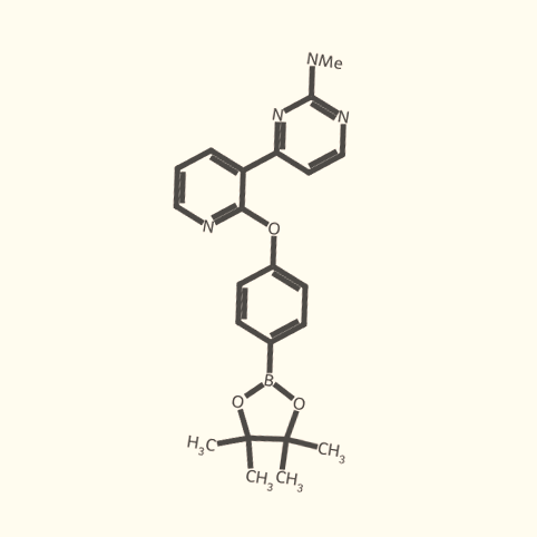 CNc1nccc(-c2cccnc2Oc2ccc(B3OC(C)(C)C(C)(C)O3)cc2)n1